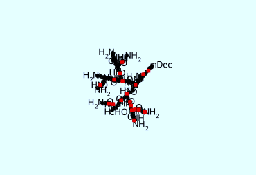 CCCCCCCCCCCCCCCCCCN(N)/C=C(\N)CN(CCC(=O)NCCN(CCC(=O)NCCN(CCC=O)CCC(=O)NCCN)CCC(=O)NCCN(CCC(=O)NCCN)CCC(=O)NCCN)CCC(=O)NCCN(CCC(=O)NCCN(CCCCN)CCC(=O)NCCN)CCC(=O)NCCN(CCC(=O)NCCN)CCC(=O)NCCN